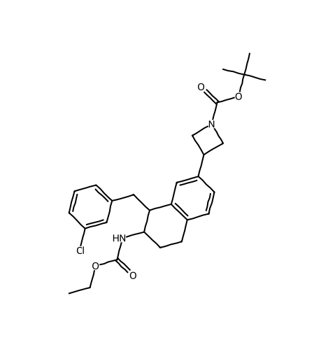 CCOC(=O)NC1CCc2ccc(C3CN(C(=O)OC(C)(C)C)C3)cc2C1Cc1cccc(Cl)c1